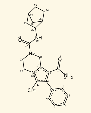 NC(=O)c1c(-c2ccccc2)c(Cl)n2c1CN(C(=O)NC1CC3CCC1C3)CC2